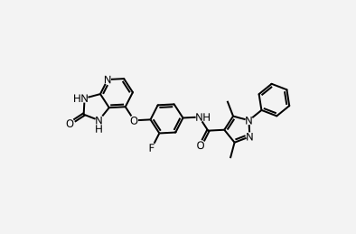 Cc1nn(-c2ccccc2)c(C)c1C(=O)Nc1ccc(Oc2ccnc3[nH]c(=O)[nH]c23)c(F)c1